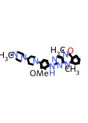 COc1cc(N2CCC(N3CCN(C)CC3)CC2)ccc1Nc1ncc2c(n1)N(C)c1ccccc1C(=O)N2C